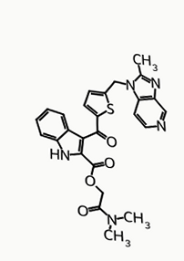 Cc1nc2cnccc2n1Cc1ccc(C(=O)c2c(C(=O)OCC(=O)N(C)C)[nH]c3ccccc23)s1